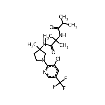 CC(C)C(=O)NC(C)(C)C(=O)NC1(C)CCN(c2ncc(C(F)(F)F)cc2Cl)C1